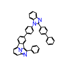 c1ccc(-c2ccc(-c3nc4ccccc4n3-c3ccc(-c4ccc5c(c4)c4c(-c6ccccc6)nc6cccc5n64)cc3)cc2)cc1